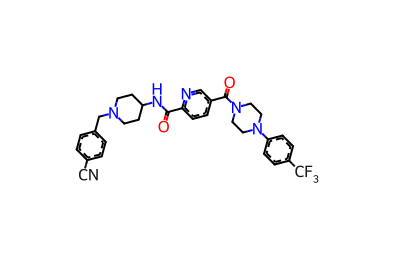 N#Cc1ccc(CN2CCC(NC(=O)c3ccc(C(=O)N4CCN(c5ccc(C(F)(F)F)cc5)CC4)cn3)CC2)cc1